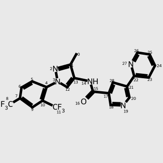 Cc1nn(-c2ccc(C(F)(F)F)cc2C(F)(F)F)cc1NC(=O)c1cncc(-c2ccccn2)c1